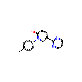 Cc1ccc(-n2cc(-c3ncccn3)ccc2=O)cc1